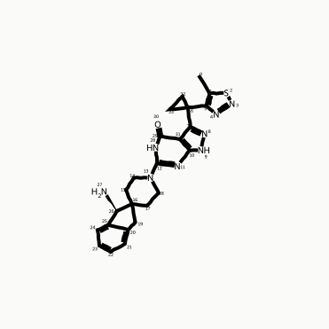 Cc1snnc1C1(c2n[nH]c3nc(N4CCC5(CC4)Cc4ccccc4[C@H]5N)[nH]c(=O)c23)CC1